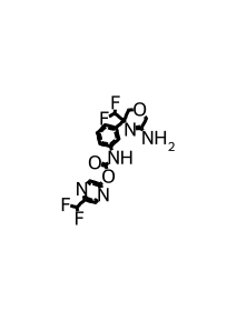 NC1=NC(c2cccc(NC(=O)Oc3cnc(C(F)F)cn3)c2)(C(F)F)COC1